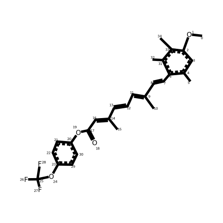 COc1cc(C)c(/C=C/C(C)=C/C=C/C(C)=C/C(=O)Oc2ccc(OC(F)(F)F)cc2)c(C)c1C